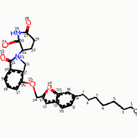 CCCCCCCCc1ccc2cc(COc3cccc4c3CN(C3CCC(=O)NC3=O)C4=O)oc2c1